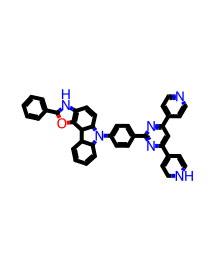 C1=CC2C3C4=C(C=CC3N(c3ccc(-c5nc(C6=CCNC=C6)cc(-c6ccncc6)n5)cc3)C2C=C1)NC(c1ccccc1)O4